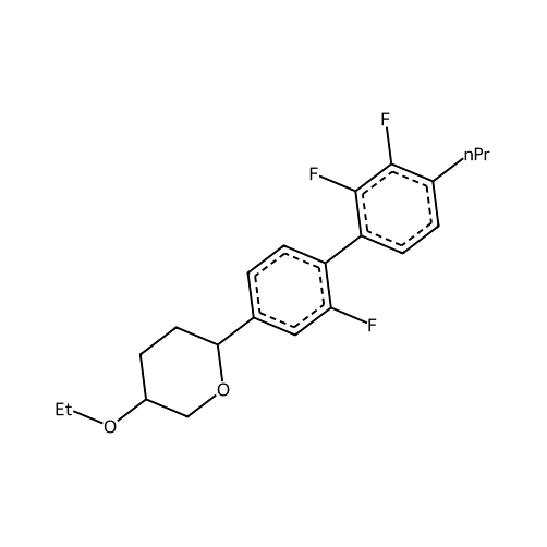 CCCc1ccc(-c2ccc(C3CCC(OCC)CO3)cc2F)c(F)c1F